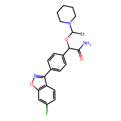 CCC(OC(C(N)=O)c1ccc(-c2noc3cc(F)ccc23)cc1)N1CCCCC1